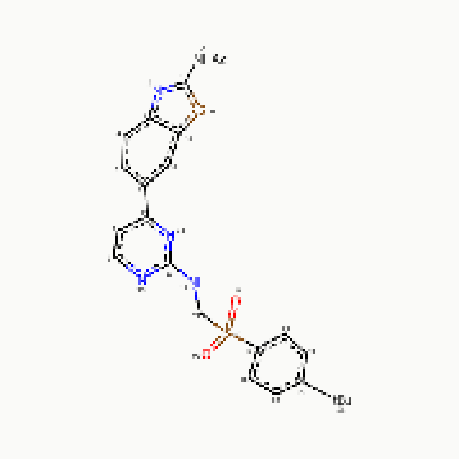 CC(=O)Nc1nc2ccc(-c3ccnc(NCS(=O)(=O)c4ccc(C(C)(C)C)cc4)n3)cc2s1